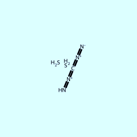 S.S.[N-]=[N+]=C=[N+]=N